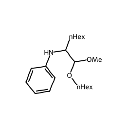 CCCCCCOC(OC)C(CCCCCC)Nc1ccccc1